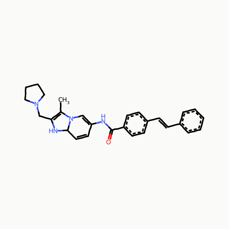 CC1=C(CN2CCCC2)NC2C=CC(NC(=O)c3ccc(/C=C/c4ccccc4)cc3)=CN12